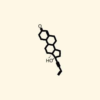 C=CC#C[C@]1(O)CCC2C3CCC4=CC(=O)CCC4C3CC[C@@]21C